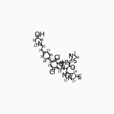 O=C(Nc1nccs1)C(c1ncn2c1C[C@@H](F)C2)n1cc2c(Cl)cc(-c3ccc(CCN4CCC(O)C4)cc3)c(Cl)c2n1